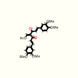 COc1ccc(/C=C/C(=O)C(=COC(C)=O)C(=O)/C=C/c2ccc(OC)c(OC)c2)cc1OC